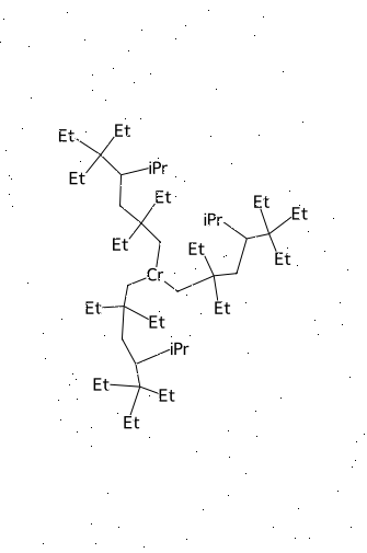 CCC(CC)(CC(C(C)C)C(CC)(CC)CC)[CH2][Cr]([CH2]C(CC)(CC)CC(C(C)C)C(CC)(CC)CC)[CH2]C(CC)(CC)CC(C(C)C)C(CC)(CC)CC